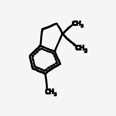 Cc1ccc2c(c1)C(C)(C)CC2